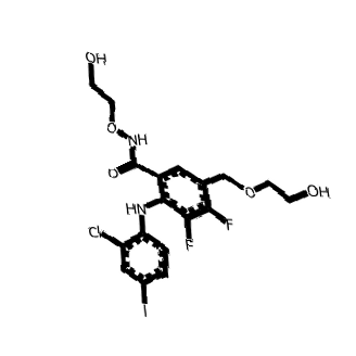 O=C(NOCCO)c1cc(COCCO)c(F)c(F)c1Nc1ccc(I)cc1Cl